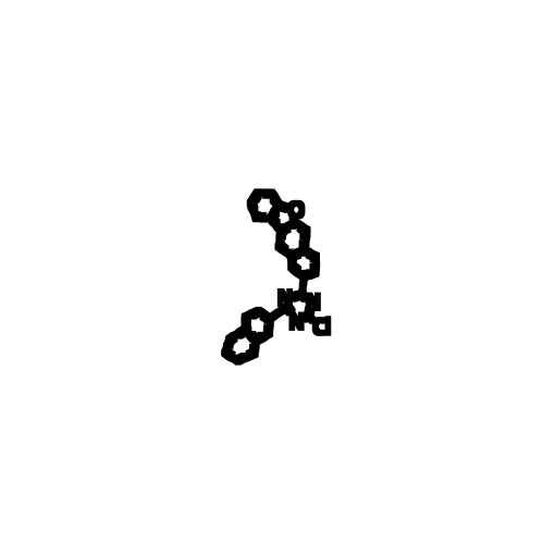 Clc1nc(-c2ccc3ccccc3c2)nc(-c2ccc3cc4oc5ccccc5c4cc3c2)n1